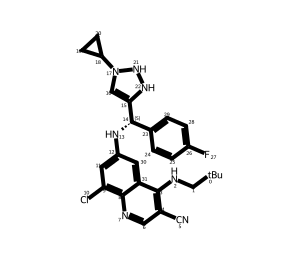 CC(C)(C)CNc1c(C#N)cnc2c(Cl)cc(N[C@H](C3=CN(C4CC4)NN3)c3ccc(F)cc3)cc12